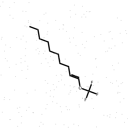 CCCCCCCCC=COC(F)(F)F